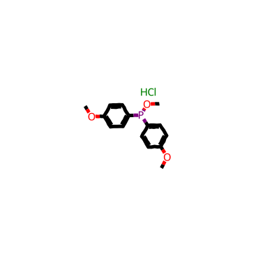 COc1ccc(P(OC)c2ccc(OC)cc2)cc1.Cl